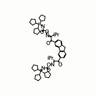 CC(C)/C(=N\OC(=O)N=P(C1CCCC1)(C1CCCC1)C1CCCC1)C(=O)c1ccc2c(c1)-c1cc(C(=O)/C(=N/OC(=O)N=P(C3CCCC3)(C3CCCC3)C3CCCC3)C(C)C)ccc1C2